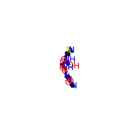 Cc1ncsc1-c1ccc([C@H](C)NC(=O)[C@@H]2C[C@@H](O)CN2C(=O)[C@@H](NC(=O)COCCN2CCN(OC(=O)c3cccnc3)CC2)C(C)(C)C)cc1